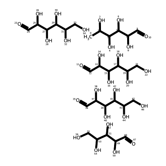 CC(O)C(O)C(O)C(O)C=O.O=CC(O)C(O)C(O)C(O)CO.O=CC(O)C(O)C(O)C(O)CO.O=CC(O)C(O)C(O)C(O)CO.O=CC(O)C(O)C(O)CO